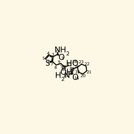 NC(=O)c1ccsc1C[CH][C@H](O)C[C@@H](C(N)=O)C1(O)CCCCC1